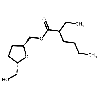 CCCCC(CC)C(=O)OC[C@@H]1CC[C@@H](CO)O1